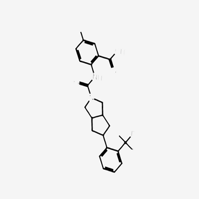 O=C(O)c1cc(F)ccc1NC(=O)N1CC2CC(c3ccccc3C(F)(F)F)CC2C1